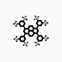 C[Si](C)(C)c1cc(-c2cc(-c3cc([Si](C)(C)C)cc([Si](C)(C)C)c3)c3ccc4c(-c5cc([Si](C)(C)C)cc([Si](C)(C)C)c5)cc(-c5cc([Si](C)(C)C)cc([Si](C)(C)C)c5)c5ccc2c3c54)cc([Si](C)(C)C)c1